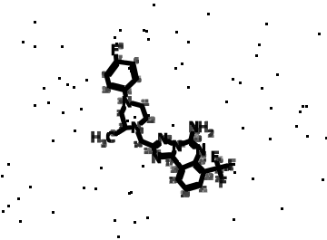 CC1CN(c2ccc(F)cc2)CCN1Cc1nc2c3cccc(C(F)(F)F)c3nc(N)n2n1